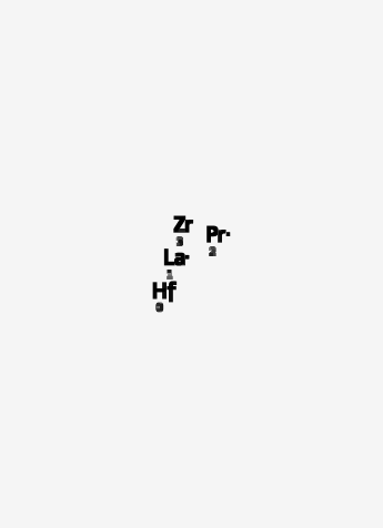 [Hf].[La].[Pr].[Zr]